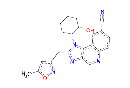 Cc1cc(Cc2nc3cnc4ccc(C#N)cc4c3n2[C@@H]2CCCC[C@@H]2O)no1